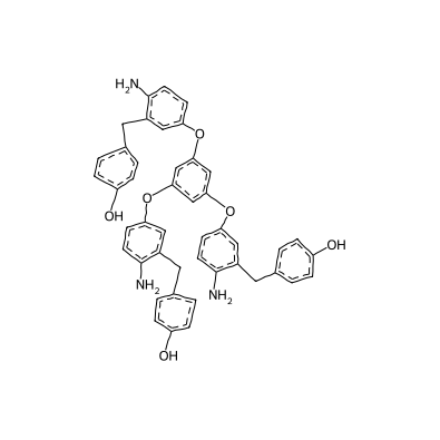 Nc1ccc(Oc2cc(Oc3ccc(N)c(Cc4ccc(O)cc4)c3)cc(Oc3ccc(N)c(Cc4ccc(O)cc4)c3)c2)cc1Cc1ccc(O)cc1